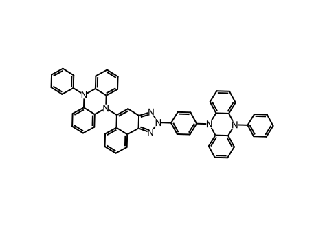 c1ccc(N2c3ccccc3N(c3ccc(-n4nc5cc(N6c7ccccc7N(c7ccccc7)c7ccccc76)c6ccccc6c5n4)cc3)c3ccccc32)cc1